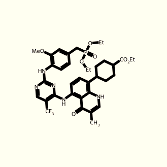 CCOC(=O)C1CCC(c2ccc(Nc3nc(Nc4ccc(CP(=O)(OCC)OCC)cc4OC)ncc3C(F)(F)F)c3c(=O)c(C)c[nH]c23)CC1